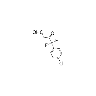 O=CCC(=O)C(F)(F)c1ccc(Cl)cc1